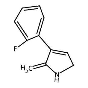 C=C1NCC=C1c1ccccc1F